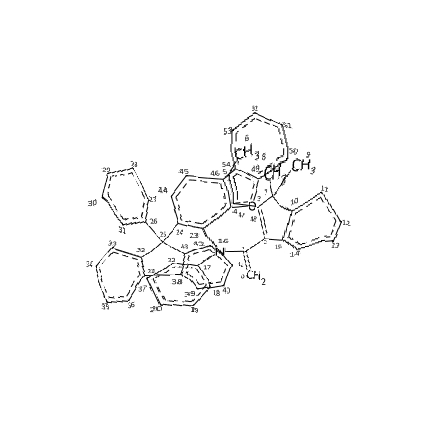 C=C(C1=C(/C=C\C)C(C)(C)c2ccccc21)N(c1ccccc1)c1c(C2(c3ccccc3)c3ccccc3-c3ccccc32)ccc2c1oc1ccccc12